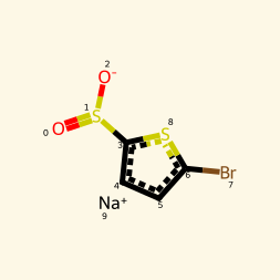 O=S([O-])c1ccc(Br)s1.[Na+]